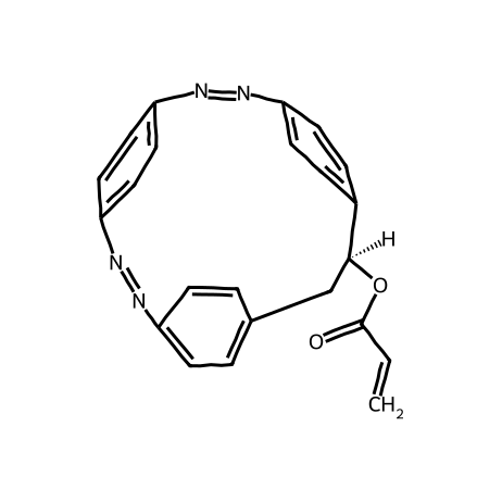 C=CC(=O)O[C@H]1Cc2ccc(cc2)N=Nc2ccc(cc2)N=Nc2ccc1cc2